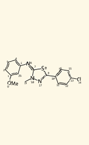 COc1cccc(N=c2sc(-c3ccc(Cl)cc3)nn2C)c1